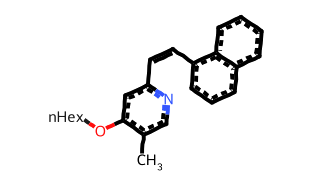 CCCCCCOc1cc(/C=C\c2cccc3ccccc23)ncc1C